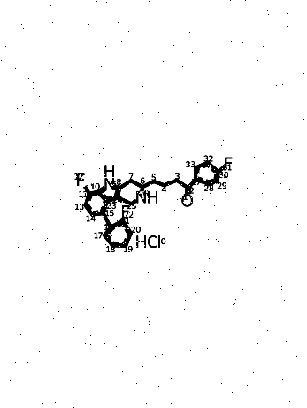 Cl.O=C(CCCC1Cc2[nH]c3c(F)ccc(-c4ccccc4F)c3c2CN1)c1ccc(F)cc1